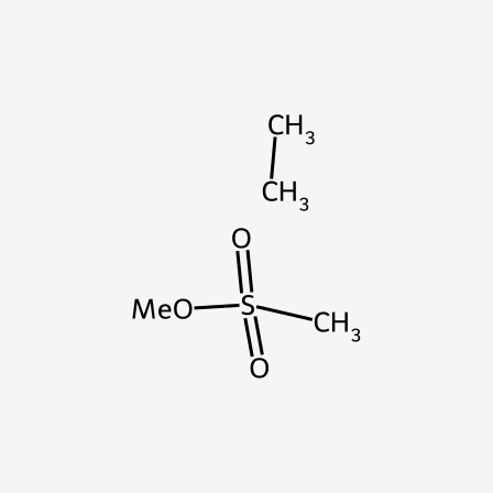 CC.COS(C)(=O)=O